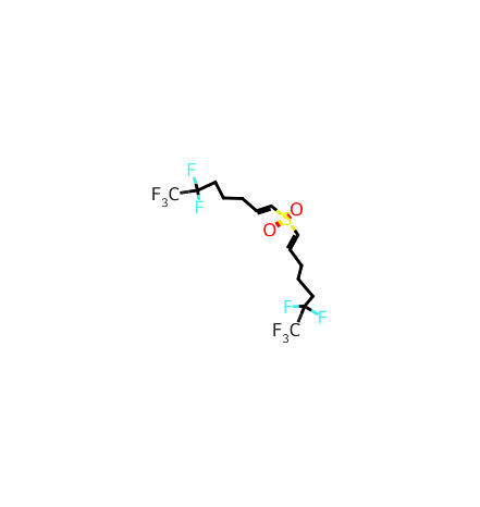 O=S(=O)(C=CCCCC(F)(F)C(F)(F)F)C=CCCCC(F)(F)C(F)(F)F